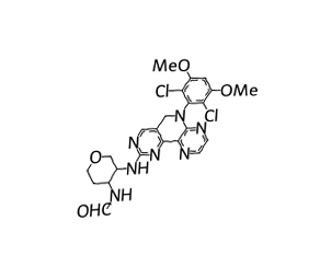 COc1cc(OC)c(Cl)c(N2Cc3cnc(NC4COCCC4NC=O)nc3-c3nccnc32)c1Cl